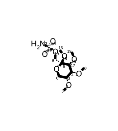 CO[C@@H]1[C@H](OC)CO[C@@](COS(N)(=O)=O)(OC)[C@H]1OC